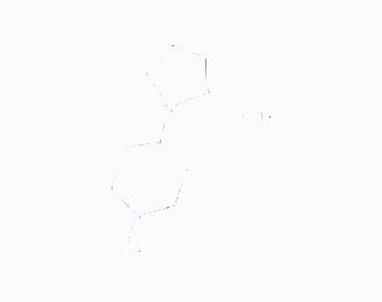 CC(C)(C)N1CCC(N2CCCC2C(=O)O)CC1